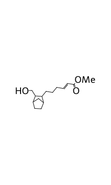 COC(=O)C=CCCCC1C2CCC(C2)C1CO